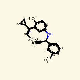 C#CC(Nc1ccc(C)c(/C(=C\C=O)C2CC2)c1)c1cccc(C)c1